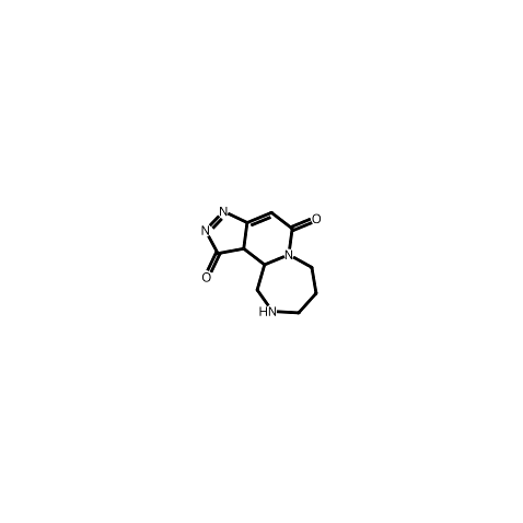 O=C1N=NC2=CC(=O)N3CCCNCC3C12